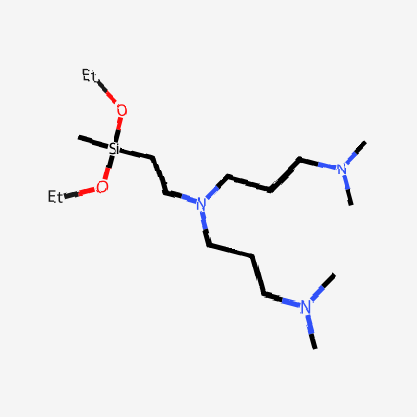 CCO[Si](C)(CCN(CCCN(C)C)CCCN(C)C)OCC